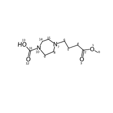 COC(=O)CCCN1CCN(C(=O)O)CC1